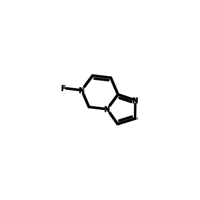 FN1C=Cc2n[c]cn2C1